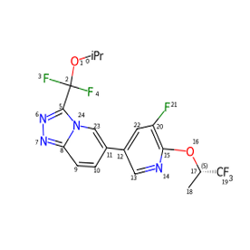 CC(C)OC(F)(F)c1nnc2ccc(-c3cnc(O[C@@H](C)C(F)(F)F)c(F)c3)cn12